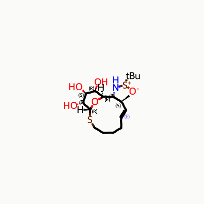 C[C@H]1/C=C/CCCCS[C@H]2O[C@@H]([C@H](O)[C@H](O)[C@H]2O)[C@@H]1N[S+]([O-])C(C)(C)C